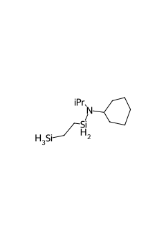 CC(C)N([SiH2]CC[SiH3])C1CCCCC1